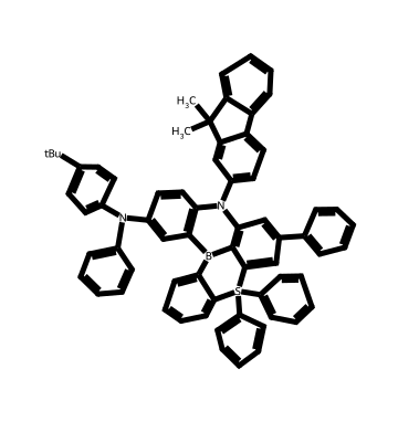 CC(C)(C)c1ccc(N(c2ccccc2)c2ccc3c(c2)B2c4ccccc4S(c4ccccc4)(c4ccccc4)c4cc(-c5ccccc5)cc(c42)N3c2ccc3c(c2)C(C)(C)c2ccccc2-3)cc1